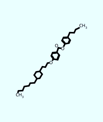 CCCCCCCC1CCC(CCCOc2ccc(C(=O)Oc3ccc(CCCCC)cc3)cc2)CC1